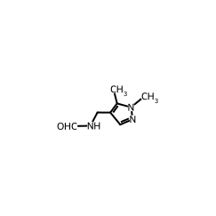 Cc1c(CNC=O)cnn1C